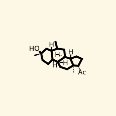 CC(=O)[C@H]1CC[C@H]2[C@@H]3CC(C)[C@H]4C[C@@](C)(O)CC[C@@H]4[C@H]3CC[C@]12C